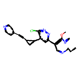 C=N/C(OC)=C(\C=N/CCC)c1cc(C2CC2C#Cc2ccncc2)c(Cl)nn1